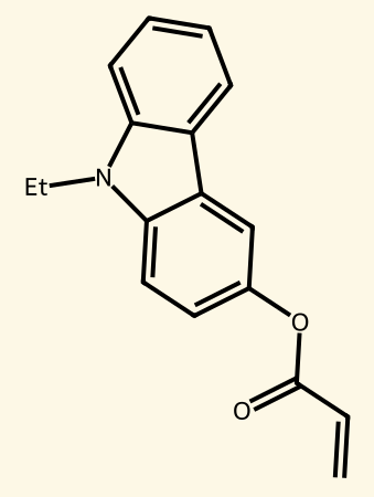 C=CC(=O)Oc1ccc2c(c1)c1ccccc1n2CC